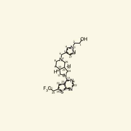 OCCn1cc(CN2CC[C@@H]3CN(c4ncnc5sc(CC(F)(F)F)cc45)C[C@@H]3C2)cn1